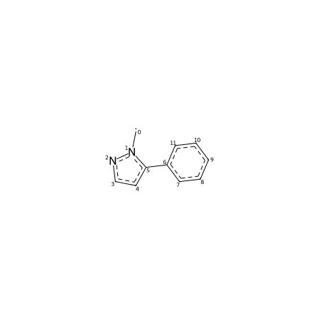 [CH2]n1nccc1-c1ccccc1